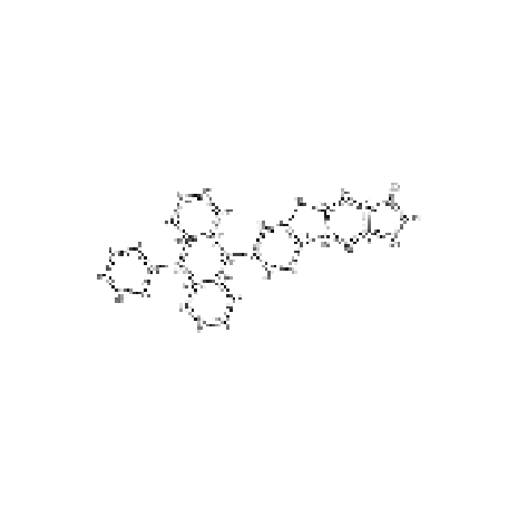 c1ccc(-c2c3ccccc3c(-c3ccc4c(c3)Cc3cc5sccc5cc3-4)c3ccccc23)cc1